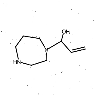 C=CC(O)N1CCCNCC1